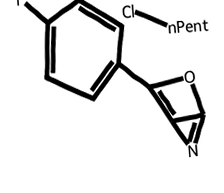 CCCCCCl.Fc1ccc(-c2oc3nc2-3)cc1